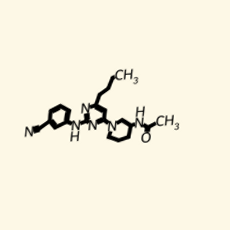 CCCCc1cc(N2CCCC(NC(C)=O)C2)nc(Nc2cccc(C#N)c2)n1